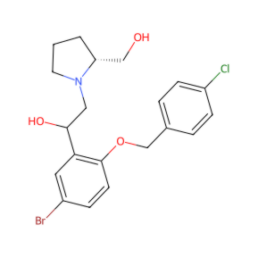 OC[C@H]1CCCN1CC(O)c1cc(Br)ccc1OCc1ccc(Cl)cc1